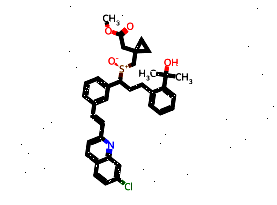 COC(=O)CC1(C[S@@+]([O-])C(CCc2ccccc2C(C)(C)O)c2cccc(/C=C/c3ccc4ccc(Cl)cc4n3)c2)CC1